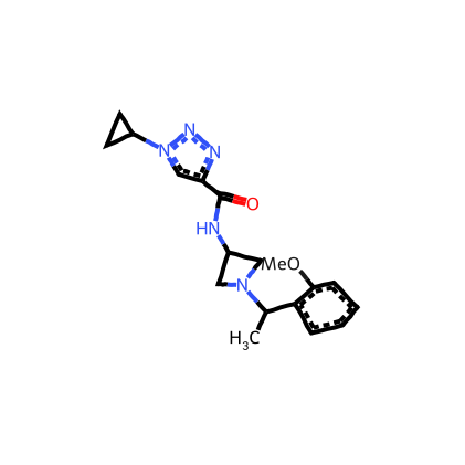 COc1ccccc1C(C)N1CC(NC(=O)c2cn(C3CC3)nn2)C1